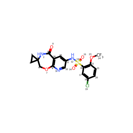 O=C1NC2(CC2)COc2ncc(NS(=O)(=O)c3cc(Cl)ccc3OC(F)(F)F)cc21